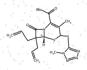 C=CCC1(CC=C)C(=O)N2C(C(=O)C(C)(C)C)=C(C)C(Sc3nnnn3C)S[C@@H]21